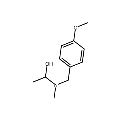 COc1ccc(CN(C)C(C)O)cc1